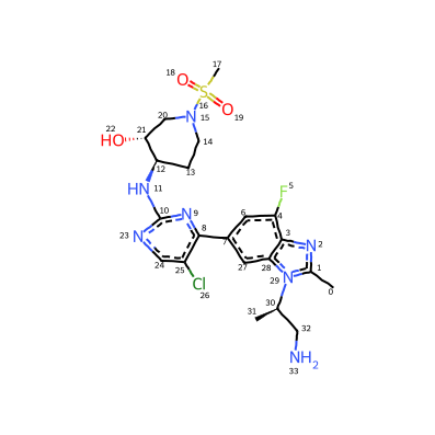 Cc1nc2c(F)cc(-c3nc(N[C@@H]4CCN(S(C)(=O)=O)C[C@H]4O)ncc3Cl)cc2n1[C@H](C)CN